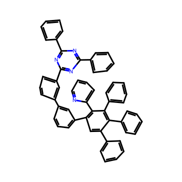 c1ccc(-c2nc(-c3ccccc3)nc(-c3cccc(-c4cccc(-c5cc(-c6ccccc6)c(-c6ccccc6)c(-c6ccccc6)c5-c5ccccn5)c4)c3)n2)cc1